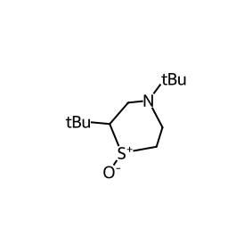 CC(C)(C)C1CN(C(C)(C)C)CC[S+]1[O-]